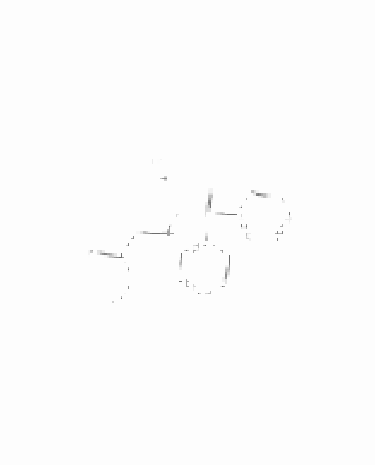 CCOC(=N)CNCP(=O)(c1ccccc1)c1ccccc1.Cl.Cl